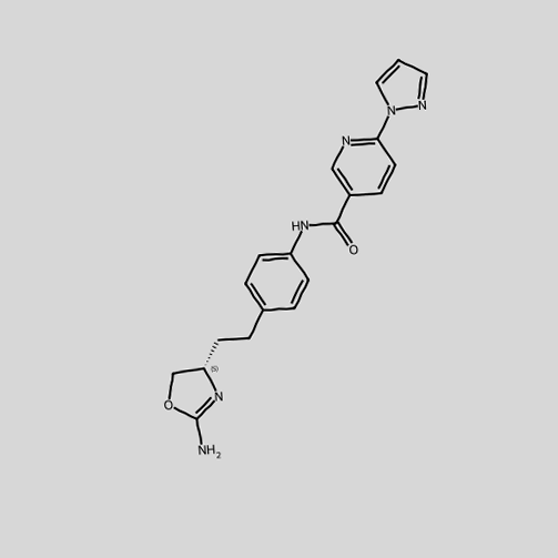 NC1=N[C@@H](CCc2ccc(NC(=O)c3ccc(-n4cccn4)nc3)cc2)CO1